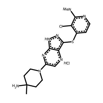 CNc1nccc(Sc2n[nH]c3nc(N4CCC(C)(N)CC4)cnc23)c1Cl.Cl